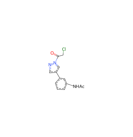 CC(=O)Nc1cccc(-c2cnn(C(=O)CCl)c2)c1